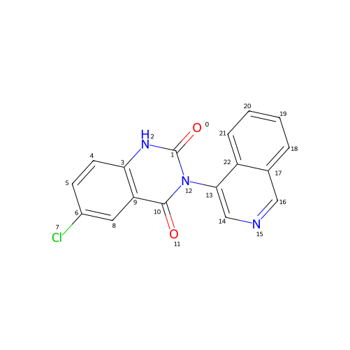 O=c1[nH]c2ccc(Cl)cc2c(=O)n1-c1cncc2ccccc12